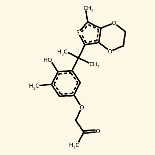 CC(=O)COc1cc(C)c(O)c(C(C)(C)c2sc(C)c3c2OCCO3)c1